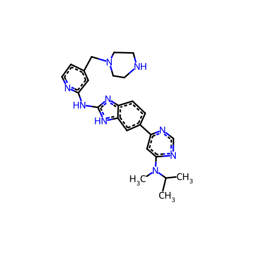 CC(C)N(C)c1cc(-c2ccc3nc(Nc4cc(CN5CCNCC5)ccn4)[nH]c3c2)ncn1